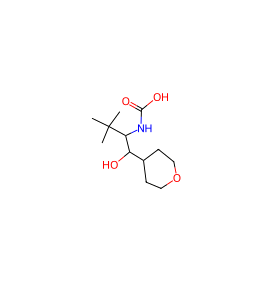 CC(C)(C)C(NC(=O)O)C(O)C1CCOCC1